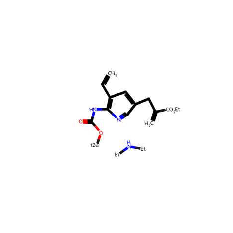 C=Cc1cc(CC(=C)C(=O)OCC)cnc1NC(=O)OC(C)(C)C.CCNCC